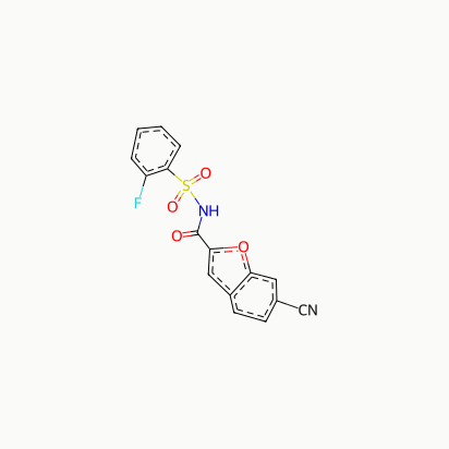 N#Cc1ccc2cc(C(=O)NS(=O)(=O)c3ccccc3F)oc2c1